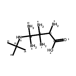 BC(C(=O)O)C(B)(B)C(B)(B)NC(C)(C)C